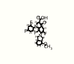 COc1cccc2c1CN(c1c(F)cc3c(=O)c(C(=O)O)cn(-c4ccc(F)cc4F)c3c1F)C2